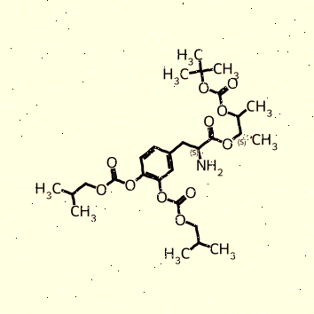 CC(C)COC(=O)Oc1ccc(C[C@H](N)C(=O)O[C@@H](C)C(C)OC(=O)OC(C)(C)C)cc1OC(=O)OCC(C)C